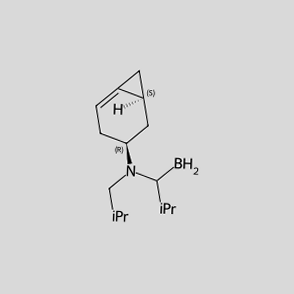 BC(C(C)C)N(CC(C)C)[C@H]1CC=C2C[C@H]2C1